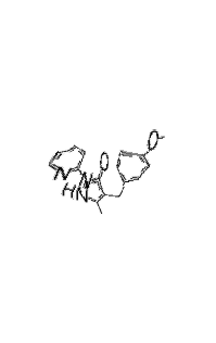 COc1ccc(Cc2c(C)[nH]n(-c3ccccn3)c2=O)cc1